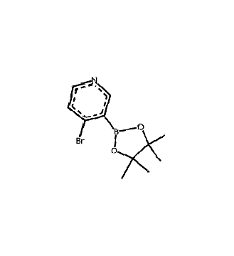 CC1(C)OB(c2cnccc2Br)OC1(C)C